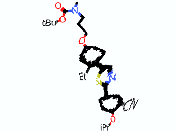 CCc1cc(OCCCN(C)C(=O)OC(C)(C)C)ccc1-c1cnc(-c2ccc(OC(C)C)c(C#N)c2)s1